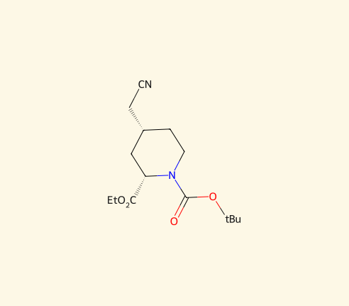 CCOC(=O)[C@@H]1C[C@H](CC#N)CCN1C(=O)OC(C)(C)C